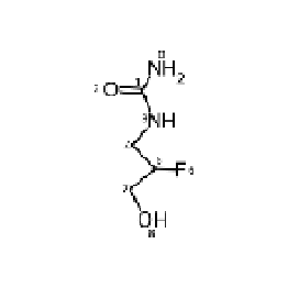 NC(=O)NCC(F)CO